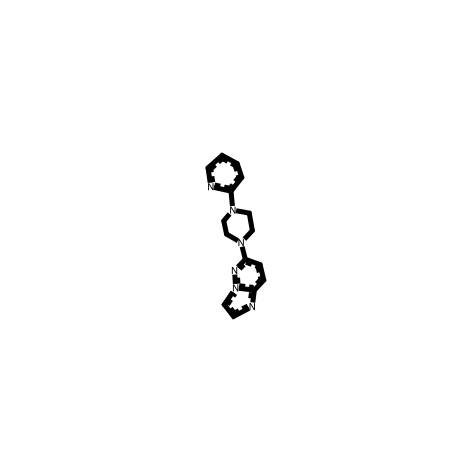 c1ccc(N2CCN(c3ccc4nccn4n3)CC2)nc1